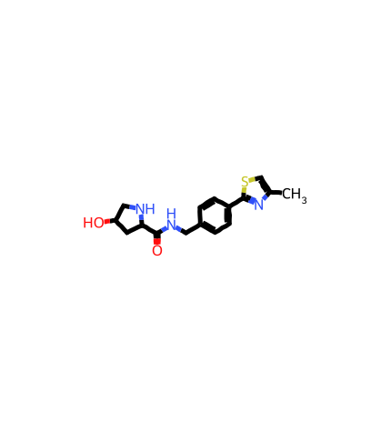 Cc1csc(-c2ccc(CNC(=O)C3CC(O)CN3)cc2)n1